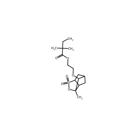 CCC(C)(C)C(=O)OCCOC1C2CC3C(C2)S(=O)(=O)OC31C